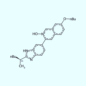 CCCCOc1ccc2cc(-c3ccc4nc([C@@H](C)CCCC)[nH]c4c3)[n+](O)cc2c1